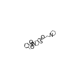 Cc1ccccc1S(=O)(=O)N1CCc2sc(OCCCN3CCCCC3)cc2C1